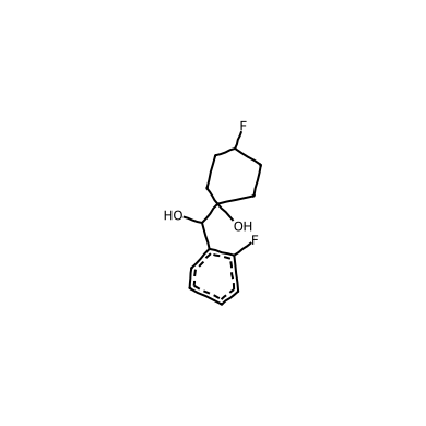 OC(c1ccccc1F)C1(O)CCC(F)CC1